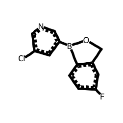 Fc1ccc2c(c1)COB2c1cncc(Cl)c1